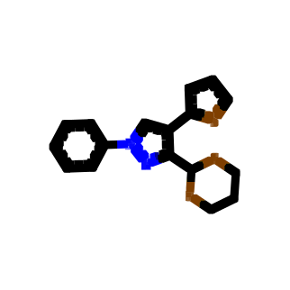 c1ccc(-n2cc(-c3cccs3)c(C3SCCCS3)n2)cc1